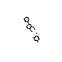 COc1ccccc1-c1ccc2c(c1)CCN(S(=O)(=O)c1c(C)cc(I)cc1C)C2